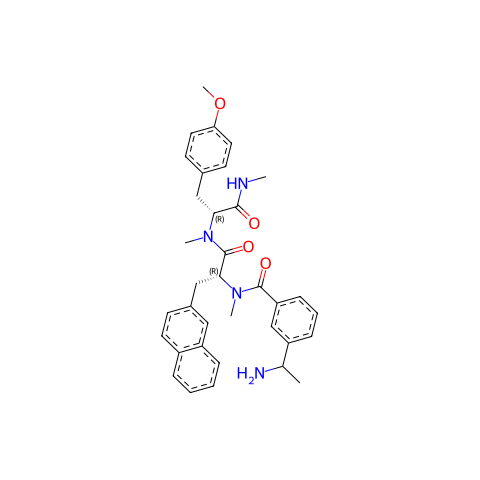 CNC(=O)[C@@H](Cc1ccc(OC)cc1)N(C)C(=O)[C@@H](Cc1ccc2ccccc2c1)N(C)C(=O)c1cccc(C(C)N)c1